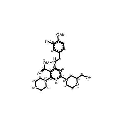 COC(=O)c1c(NCc2ccc(OC)c(Cl)c2)nc(N2CCOC(CO)C2)nc1N1CCOCC1